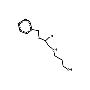 OCCCNCC(O)OCc1ccccc1